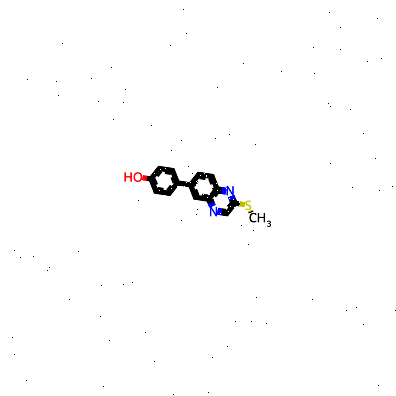 CSc1cnc2cc(-c3ccc(O)cc3)ccc2n1